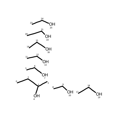 CCC(C)O.CCO.CCO.CCO.CCO.CCO.CCO.CCO